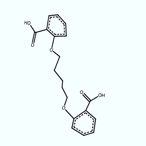 O=C(O)c1ccccc1OCCCCCOc1ccccc1C(=O)O